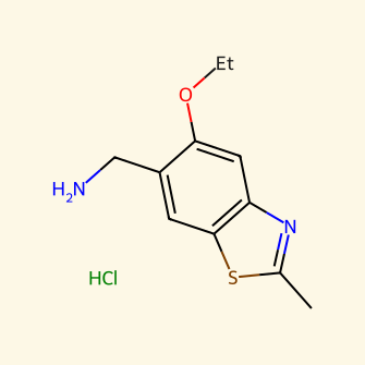 CCOc1cc2nc(C)sc2cc1CN.Cl